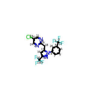 FC(F)(F)c1cccc(-n2nc(C(F)(F)F)cc2Cc2ncc(Cl)cn2)c1